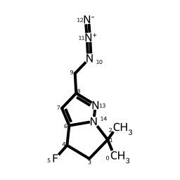 CC1(C)CC(F)c2cc(CN=[N+]=[N-])nn21